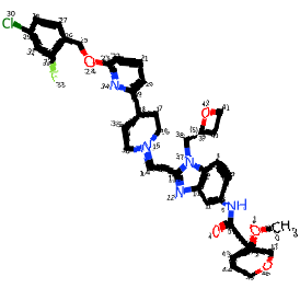 COC1(C(=O)Nc2ccc3c(c2)nc(CN2CCC(c4cccc(OCc5ccc(Cl)cc5F)n4)CC2)n3C[C@@H]2CCO2)CCCOC1